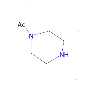 CC(=O)[N+]1CCNCC1